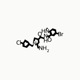 CNc1ccc(Br)cc1C(=O)NCC(=O)C1CCN(Cc2ccc(Cl)cc2)C(CN)C1